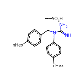 CCCCCCc1ccc(CN(C(=N)N)c2ccc(CCCCCC)cc2)cc1.CS(=O)(=O)O